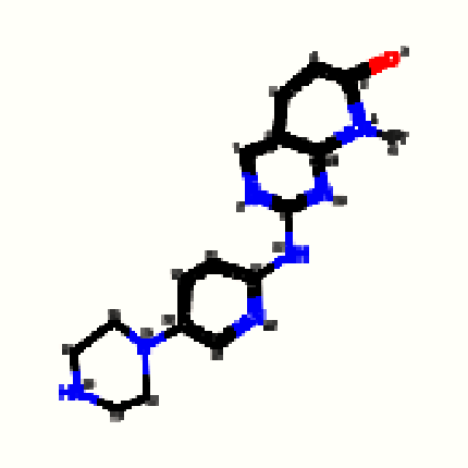 CC(C)n1c(=O)ccc2cnc(Nc3ccc(N4CCNCC4)cn3)nc21